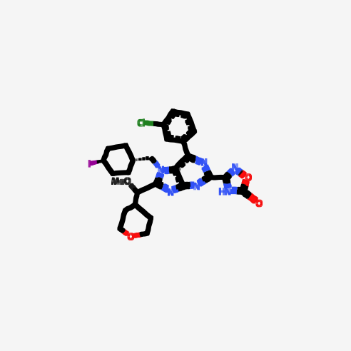 COC(c1nc2nc(-c3noc(=O)[nH]3)nc(-c3cccc(Cl)c3)c2n1C[C@H]1CC[C@H](I)CC1)C1CCOCC1